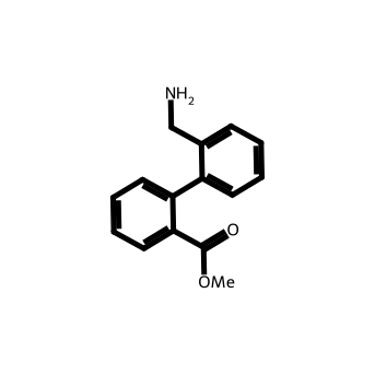 COC(=O)c1ccccc1-c1ccccc1CN